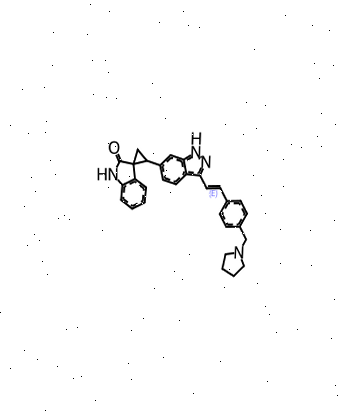 O=C1Nc2ccccc2C12CC2c1ccc2c(/C=C/c3ccc(CN4CCCC4)cc3)n[nH]c2c1